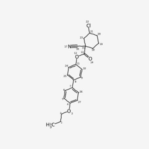 CCCOc1ccc(-c2ccc(OC(=O)C3(C#N)CCCC(Cl)C3)cc2)cc1